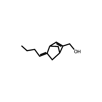 CCCC=C1CC2CC1C=C2CO